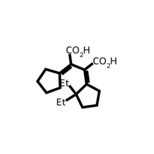 CCC1(CC)CCCC1=C(C(=O)O)C(C(=O)O)=C1CCCC1